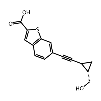 O=C(O)c1cc2ccc(C#CC3C[C@@H]3CO)cc2s1